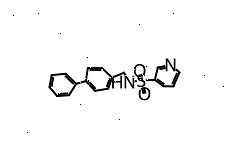 O=S(=O)(NCc1ccc(-c2ccccc2)cc1)c1cccnc1